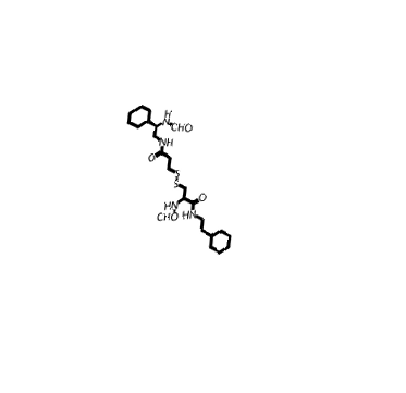 O=CNC(CSSCCC(=O)NCC(NC=O)C1CCCCC1)C(=O)NCCC1CCCCC1